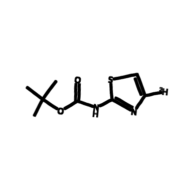 [2H]c1csc(NC(=O)OC(C)(C)C)n1